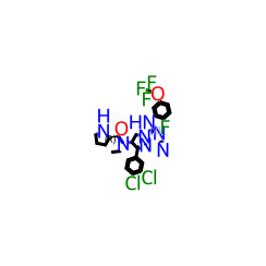 CCN(C(=O)[C@H]1CCCN1)C1CN(/C(=N\C#N)Nc2cc(OC(F)(F)F)ccc2F)N=C1c1ccc(Cl)c(Cl)c1